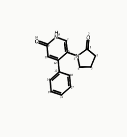 O=C1CCCN1c1c[nH]c(=O)cc1-c1ccccc1